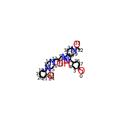 COc1ccc(-c2nn(CC(O)CN3CCN(c4ccccc4OC)CC3)c3c2CN(C(C)=O)CC3)cc1